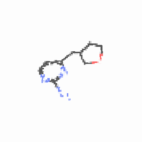 Nc1nccc(CC2CCOC2)n1